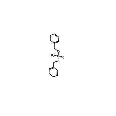 O=P(O)(OCC1=CCCC=C1)OCc1ccccc1